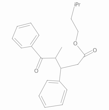 CC(C)CCOC(=O)CC(c1ccccc1)C(C)C(=O)c1ccccc1